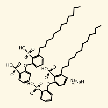 CCCCCCCCCCCCc1cccc(Oc2ccccc2S(=O)(=O)O)c1S(=O)(=O)O.CCCCCCCCCCCCc1cccc(Oc2ccccc2S(=O)(=O)O)c1S(=O)(=O)O.[NaH].[NaH]